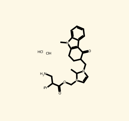 CC(C)C(CN)C(=O)OCN1C=CN(CC2CCc3c(c4ccccc4n3C)C2=O)C1C.Cl.Cl